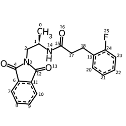 C[C@H](CN1C(=O)c2ccccc2C1=O)NC(=O)CCc1ccccc1F